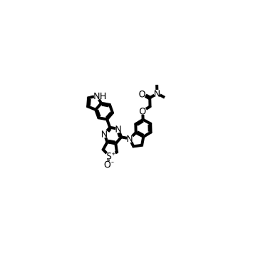 CN(C)C(=O)COc1ccc2c(c1)N(c1nc(-c3ccc4[nH]ccc4c3)nc3c1C[S+]([O-])C3)CC2